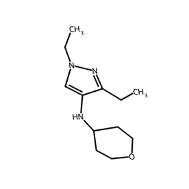 CCc1nn(CC)cc1NC1CCOCC1